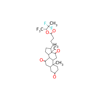 CC(F)(F)C(OC(=O)CCCC1CCC2C3C(=O)CC4CC(=O)CCC4(C)C3CC(=O)C12C)C(F)(F)F